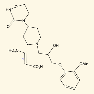 COc1ccccc1OCC(O)CN1CCC(N2CCCNC2=O)CC1.O=C(O)/C=C/C(=O)O